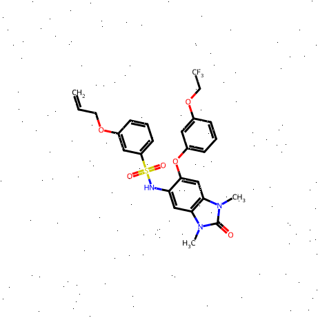 C=CCOc1cccc(S(=O)(=O)Nc2cc3c(cc2Oc2cccc(OCC(F)(F)F)c2)n(C)c(=O)n3C)c1